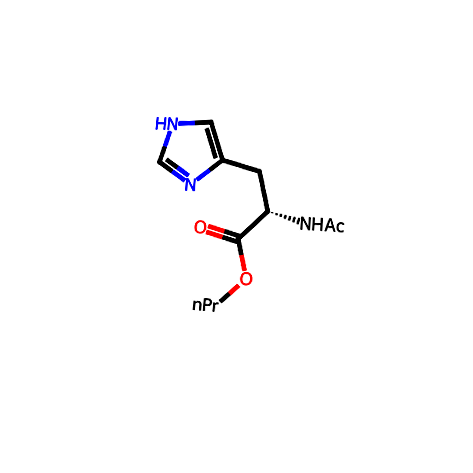 CCCOC(=O)[C@H](Cc1c[nH]cn1)NC(C)=O